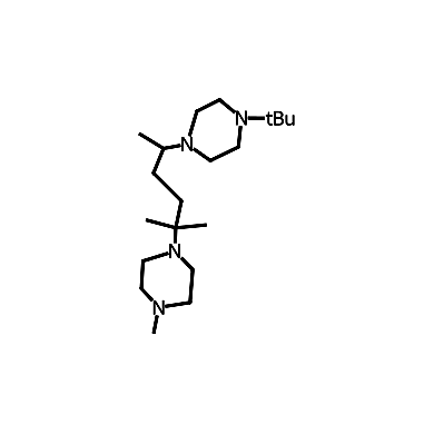 CC(CCC(C)(C)N1CCN(C)CC1)N1CCN(C(C)(C)C)CC1